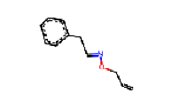 C=CCON=CCc1cc[c]cc1